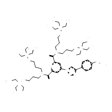 CC[Si](CC)(CC)OCCCN(CCCO[Si](CC)(CC)CC)C(=O)c1cc(-n2cc(-c3ccc(OC)cc3)nn2)cc(C(=O)N(CCCO[Si](CC)(CC)CC)CCCO[Si](CC)(CC)CC)n1